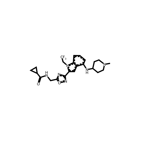 CN1CCC(Nc2cccc3c2cc(-c2noc(CNC(=O)C4CC4)n2)n3CC(F)(F)F)CC1